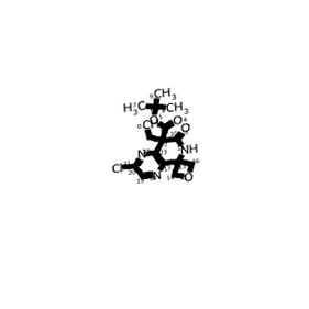 CCC1(C(=O)OC(C)(C)C)C(=O)NC2(COC2)c2ncc(Cl)nc21